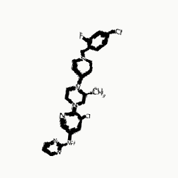 C[C@H]1CN(c2ncc(Nc3ncccn3)cc2Cl)CCN1C1CCN(Cc2ccc(Cl)cc2F)CC1